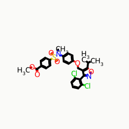 COC(=O)c1ccc(S(=O)(=O)N(C)c2ccc(OCc3c(-c4c(Cl)cccc4Cl)noc3C(C)C)cc2)cc1